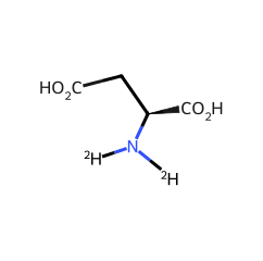 [2H]N([2H])[C@@H](CC(=O)O)C(=O)O